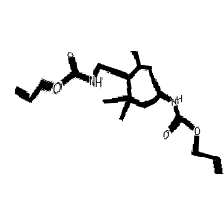 C=CCOC(=O)NCC1C(C)CC(NC(=O)OCC=C)CC1(C)C